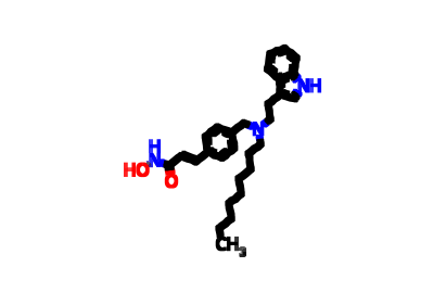 CCCCCCCCCN(CCc1c[nH]c2ccccc12)Cc1ccc(/C=C/C(=O)NO)cc1